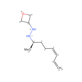 C=C/C=C\CC[C@H](NNC1COC1)OC